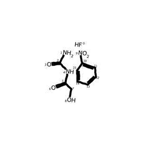 F.NC(=O)NC(=O)CO.O=[N+]([O-])c1ccccc1